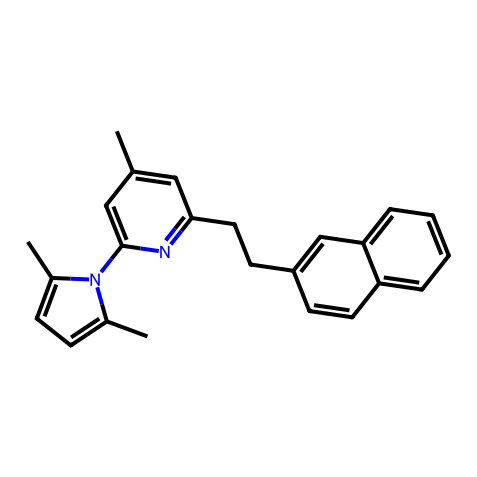 Cc1cc(CCc2ccc3ccccc3c2)nc(-n2c(C)ccc2C)c1